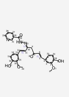 COc1cc(/C=C/C(=O)CC(/C=C/c2ccc(O)c(OC)c2)=N/NC(=O)c2cccnc2)ccc1O